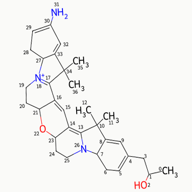 CC(O)CC1=CCC2C(=C1)C(C)(C)C1=C3C=C4C5=[N+](CCC4OC3CCN12)C1CC=C(N)C=C1C5(C)C